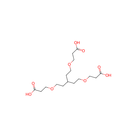 O=C(O)CCOCC[C](CCOCCC(=O)O)CCOCCC(=O)O